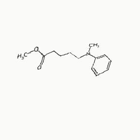 COC(=O)CCCCN(C)c1ccccc1